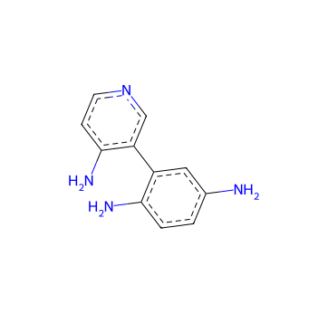 Nc1ccc(N)c(-c2cnccc2N)c1